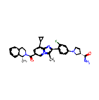 Cc1c(-c2ccc(N3CC[C@H](C(N)=O)C3)cc2F)nc2c(C3CC3)cc(C(=O)N3CCc4ccccc4[C@H]3C)cn12